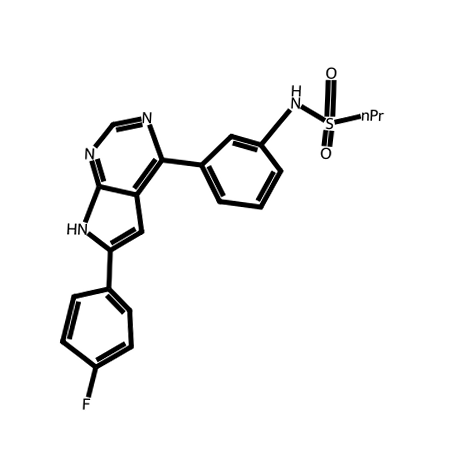 CCCS(=O)(=O)Nc1cccc(-c2ncnc3[nH]c(-c4ccc(F)cc4)cc23)c1